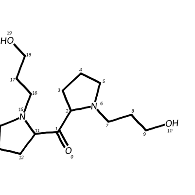 O=C(C1CCCN1CCCO)C1CCCN1CCCO